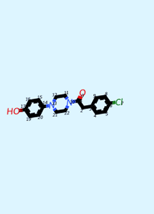 O=C(Cc1ccc(Cl)cc1)N1CCN(c2ccc(O)cc2)CC1